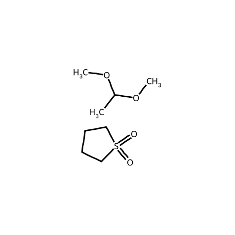 COC(C)OC.O=S1(=O)CCCC1